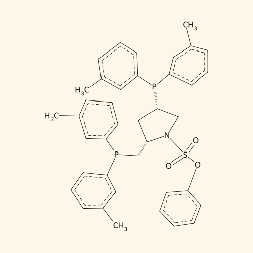 Cc1cccc(P(C[C@@H]2C[C@H](P(c3cccc(C)c3)c3cccc(C)c3)CN2S(=O)(=O)Oc2ccccc2)c2cccc(C)c2)c1